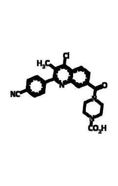 Cc1c(-c2ccc(C#N)cc2)nc2cc(C(=O)N3CCN(C(=O)O)CC3)ccc2c1Cl